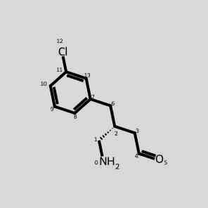 NC[C@@H](CC=O)Cc1cccc(Cl)c1